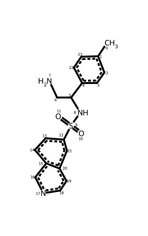 Cc1ccc(C(CN)NS(=O)(=O)c2ccc3cnccc3c2)cc1